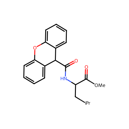 COC(=O)C(CC(C)C)NC(=O)C1c2ccccc2Oc2ccccc21